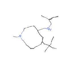 CC(C)NC1CCN(C)CCC1C(C)(C)C